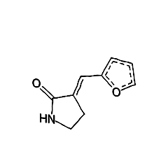 O=C1NCCC1=Cc1ccco1